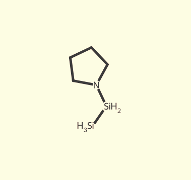 [SiH3][SiH2]N1CCCC1